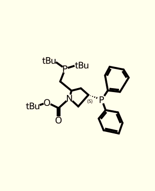 CC(C)(C)OC(=O)N1C[C@@H](P(c2ccccc2)c2ccccc2)CC1CP(C(C)(C)C)C(C)(C)C